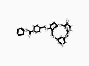 O=C(Nc1ccccc1)N1CCC(COc2ccc3cc2CCc2cncc(c2)Nc2ncc(Cl)c(n2)N3)CC1